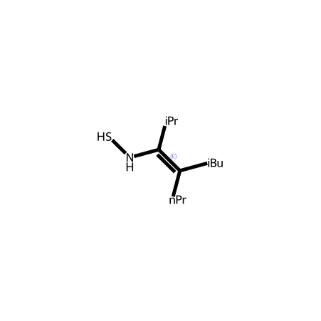 CCC/C(=C(\NS)C(C)C)C(C)CC